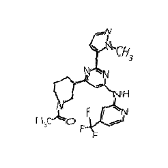 CC(=O)N1CCCC(c2cc(Nc3cc(C(F)(F)F)ccn3)nc(-c3ccnn3C)n2)C1